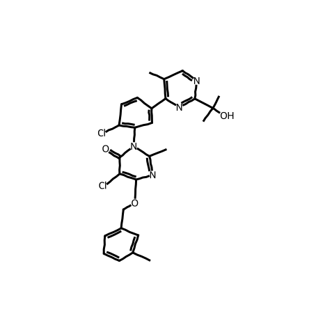 Cc1cccc(COc2nc(C)n(-c3cc(-c4nc(C(C)(C)O)ncc4C)ccc3Cl)c(=O)c2Cl)c1